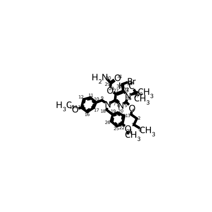 CCCCOC1N=C(N(Cc2ccc(OC)cc2)Cc2ccc(OC)cc2)C(OC(N)=O)=C(CBr)N1C(C)(C)C